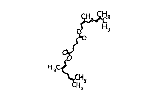 CC(C)=CCCC(C)=CCOC(=O)CCCCC(=O)OCC=C(C)CCC=C(C)C